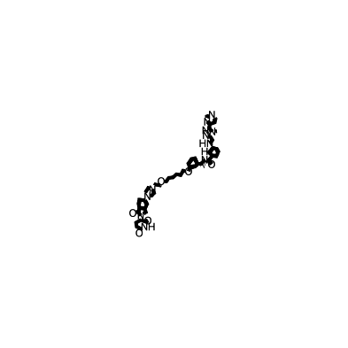 C[C@@H](NC(=O)c1cccc(NCc2nnc(-c3ccncn3)n2C)c1)c1cccc(OCCCCCCOCCN2CCN(c3ccc4c(c3)CN(C3CCC(=O)NC3=O)C4=O)CC2)c1